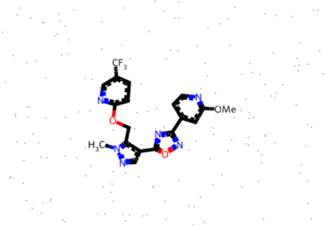 COc1cc(-c2noc(-c3cnn(C)c3COc3ccc(C(F)(F)F)cn3)n2)ccn1